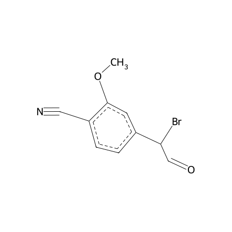 COc1cc(C(Br)C=O)ccc1C#N